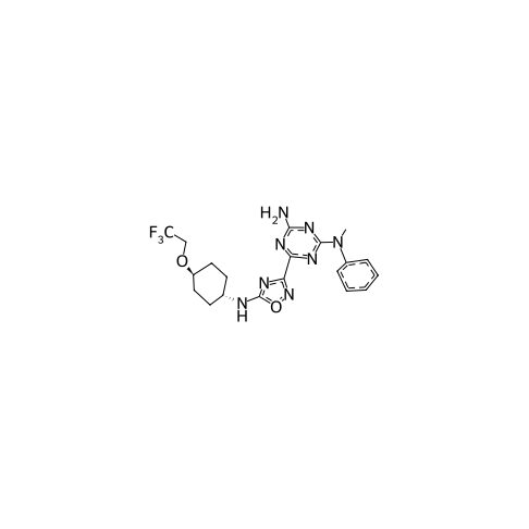 CN(c1ccccc1)c1nc(N)nc(-c2noc(N[C@H]3CC[C@H](OCC(F)(F)F)CC3)n2)n1